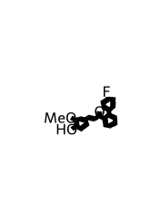 COc1cc(/C=C/C(=O)c2ccccc2-c2ccc(F)cc2)ccc1O